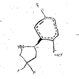 Cl.Fc1ccc(F)c([C@H]2CC(F)(F)CN2)c1